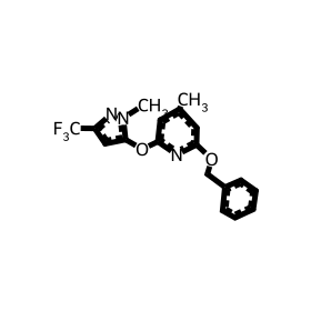 Cc1cc(OCc2ccccc2)nc(Oc2cc(C(F)(F)F)nn2C)c1